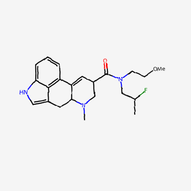 COCCN(CC(C)F)C(=O)C1C=C2c3cccc4[nH]cc(c34)CC2N(C)C1